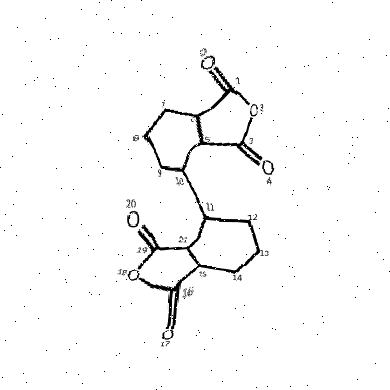 O=C1OC(=O)C2C1CCCC2C1CCCC2C(=O)OC(=O)C21